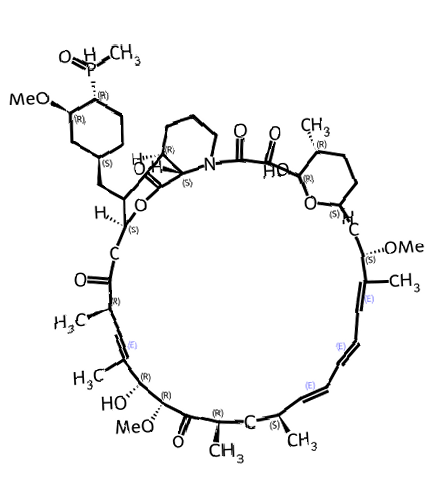 CO[C@H]1C[C@@H]2CC[C@@H](C)[C@@](O)(O2)C(=O)C(=O)N2CCC[C@@H]3C(C[C@@H]4CC[C@@H]([PH](C)=O)[C@H](OC)C4)[C@H](CC(=O)[C@H](C)/C=C(\C)[C@@H](O)[C@@H](OC)C(=O)[C@H](C)C[C@H](C)/C=C/C=C/C=C/1C)OC(=O)[C@H]32